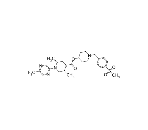 C[C@@H]1CN(c2cnc(C(F)(F)F)cn2)[C@@H](C)CN1C(=O)OC1CCN(Cc2ccc(S(C)(=O)=O)cc2)CC1